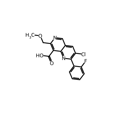 COCc1ncc2cc(Cl)c(-c3ccccc3F)nc2c1C(=O)O